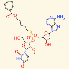 COC1C(OP(=O)(OCC2O[C@@H](n3cnc4c(N)ncnc43)C[C@H]2O)SCCCCCOC(=O)c2ccccc2)C(CO)OC1n1ccc(=O)[nH]c1=O